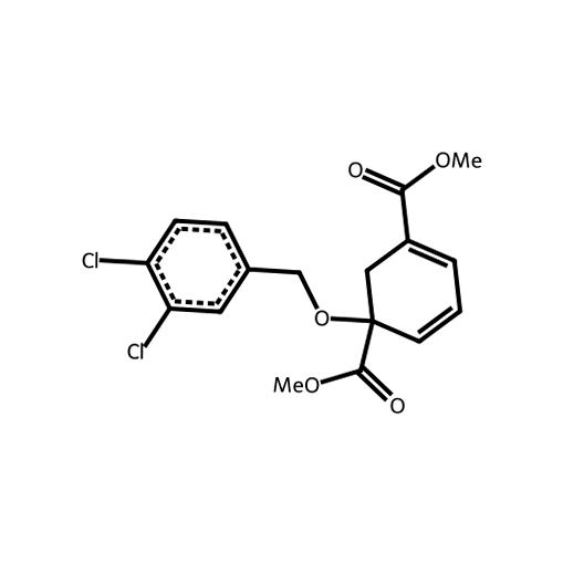 COC(=O)C1=CC=CC(OCc2ccc(Cl)c(Cl)c2)(C(=O)OC)C1